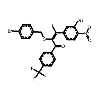 O=C(C(SCc1ccc(Br)cc1)=C(I)c1ccc([N+](=O)[O-])c(O)c1)c1ccc(C(F)(F)F)cc1